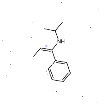 C/C=C(/NC(C)C)c1ccccc1